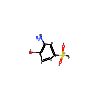 CS(=O)(=O)c1ccc(Br)c(N)c1